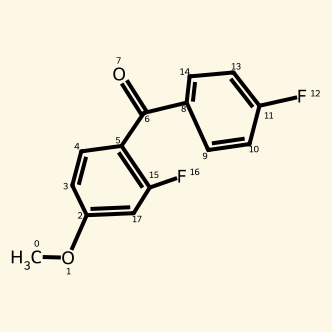 COc1ccc(C(=O)c2ccc(F)cc2)c(F)c1